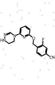 N#Cc1ccc(COc2cccc(N3C=NNCC3)n2)c(F)c1